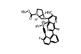 CC(C)[Si](C#Cc1c(F)ccc2cccc(-c3ncc4c(N5C[C@@H]6[C@H]5CCN6C(=O)OC(C)(C)C)c(C#N)cnc4c3F)c12)(C(C)C)C(C)C